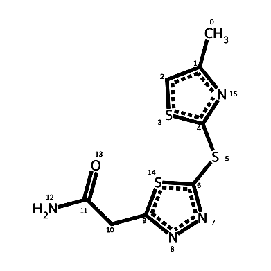 Cc1csc(Sc2nnc(CC(N)=O)s2)n1